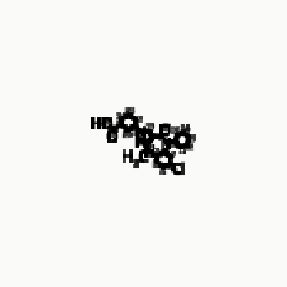 CN1c2ccc(Cl)cc2N(c2ccccc2)C(=O)c2cn(-c3cccc(C(=O)O)c3)nc21